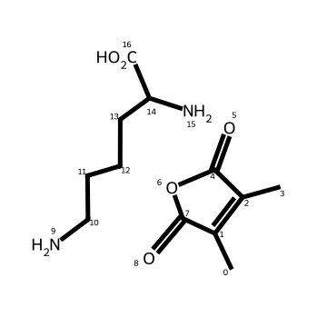 CC1=C(C)C(=O)OC1=O.NCCCCC(N)C(=O)O